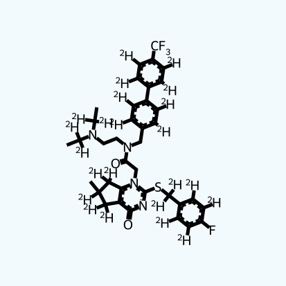 [2H]c1c([2H])c(C([2H])([2H])Sc2nc(=O)c3c(n2CC(=O)N(CCN(C([2H])([2H])C)C([2H])([2H])C)Cc2c([2H])c([2H])c(-c4c([2H])c([2H])c(C(F)(F)F)c([2H])c4[2H])c([2H])c2[2H])C([2H])([2H])C([2H])(C)C3([2H])[2H])c([2H])c([2H])c1F